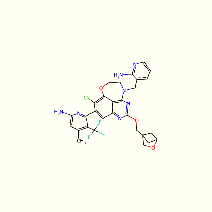 Cc1cc(N)nc(-c2cc3nc(OCC45COC(C4)C5)nc4c3c(c2Cl)OCCN4Cc2cccnc2N)c1C(F)(F)F